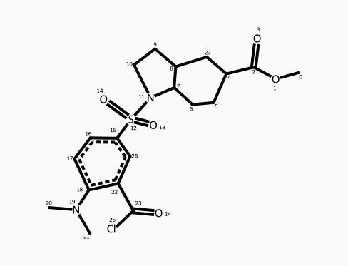 COC(=O)C1CCC2C(CCN2S(=O)(=O)c2ccc(N(C)C)c(C(=O)Cl)c2)C1